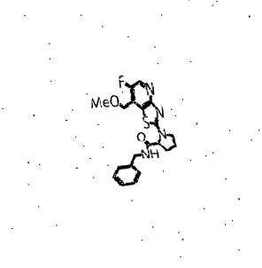 COCc1c(F)cnc2nc(N3CCCC3C(=O)NCc3ccccc3)sc12